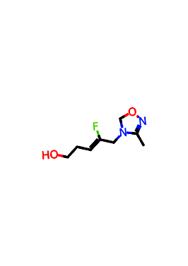 CC1=NOCN1CC(F)=CCCO